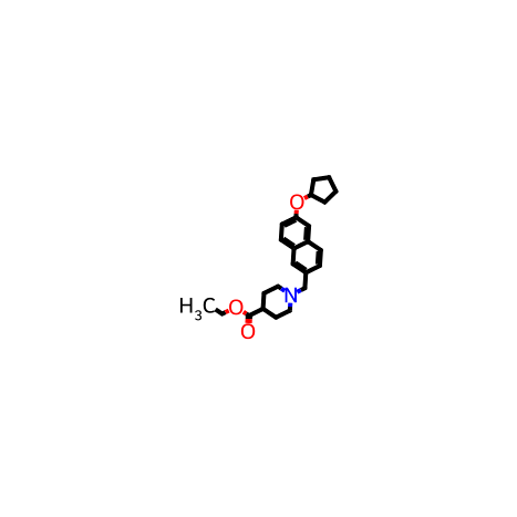 CCOC(=O)C1CCN(Cc2ccc3cc(OC4CCCC4)ccc3c2)CC1